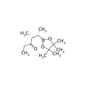 CCC(=O)[C@H](C)[C@H](C)B1OC(C)(C)C(C)(C)O1